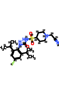 CC(C)c1cc(F)cc(C(C)C)c1NC(=O)NS(=O)(=O)C1CCN(CC#N)CC1